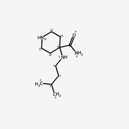 CC(C)CCNC1(C(N)=O)CCNCC1